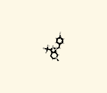 CN1CCc2c(C(F)(F)F)nn(Cc3ccc(F)cc3)c2C1